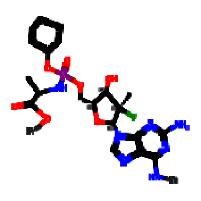 CCNc1nc(N)nc2c1ncn2[C@@H]1O[C@H](COP(=O)(NC(C)C(=O)OC(C)C)Oc2ccccc2)[C@@H](O)[C@@]1(C)F